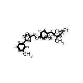 CCO/N=C(/C)C(C)(Cc1ccc(OCc2nc(-c3cccc(C)c3)no2)cc1)C(=O)O